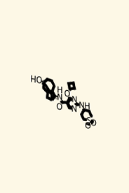 O=C(N[C@H]1C2CC3C[C@@](O)(CCCC31)C2)c1cnc(NC2CCS(=O)(=O)CC2)nc1OC1CCC1